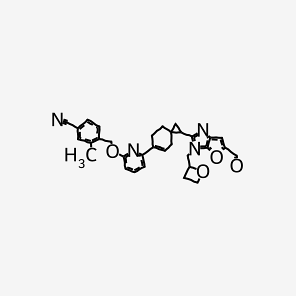 Cc1cc(C#N)ccc1COc1cccc(C2=CCC3(CC2)CC3c2nc3cc(C=O)oc3n2CC2CCO2)n1